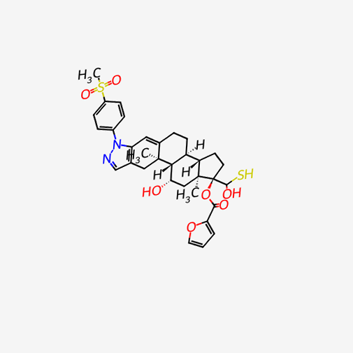 C[C@]12Cc3cnn(-c4ccc(S(C)(=O)=O)cc4)c3C=C1CC[C@@H]1[C@@H]2[C@@H](O)C[C@@]2(C)[C@H]1CC[C@]2(OC(=O)c1ccco1)C(O)S